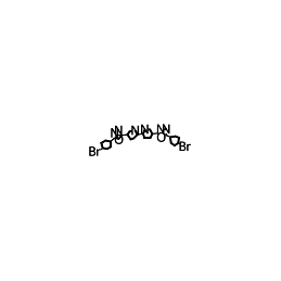 Brc1ccc(-c2nnc(-c3ccc(-c4ccc(-c5nnc(-c6ccc(Br)cc6)o5)cn4)nc3)o2)cc1